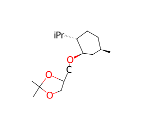 CC(C)[C@@H]1CC[C@@H](C)C[C@H]1OCC1COC(C)(C)O1